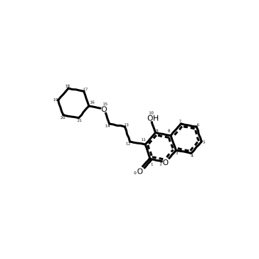 O=c1oc2ccccc2c(O)c1CCCOC1CCCCC1